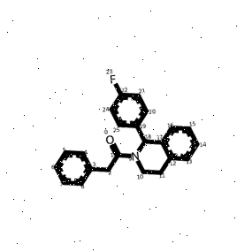 O=C(Cc1ccccc1)N1CCc2ccccc2C1c1ccc(F)cc1